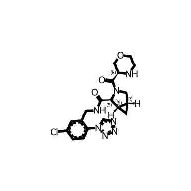 O=C(NCc1cc(Cl)ccc1-n1cnnn1)[C@@H]1[C@H]2C[C@H]2CN1C(=O)[C@H]1COCCN1